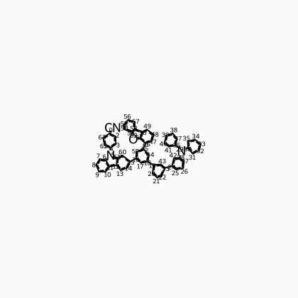 N#Cc1ccc(-n2c3ccccc3c3ccc(-c4cc(-c5cccc(-c6cccc(N(c7ccccc7)c7ccccc7)c6)c5)cc(-c5cccc6c5oc5ccccc56)c4)cc32)cc1